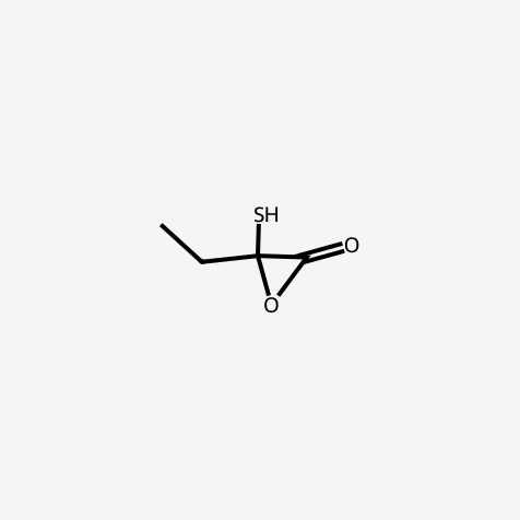 CCC1(S)OC1=O